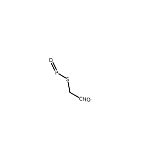 O=[C]CSP=O